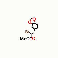 COC(=O)C(Br)Cc1ccc2c(c1)OCO2